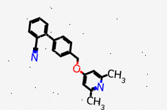 Cc1cc(OCc2ccc(-c3ccccc3C#N)cc2)cc(C)n1